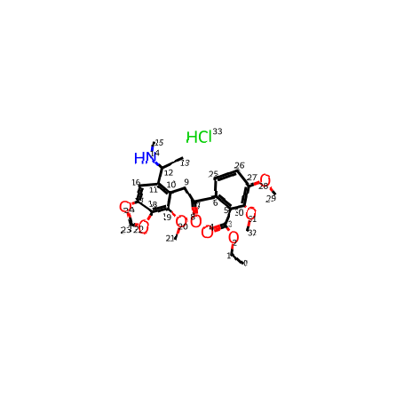 CCOC(=O)c1c(C(=O)Cc2c(C(C)NC)cc3c(c2OC)OCO3)ccc(OC)c1OC.Cl